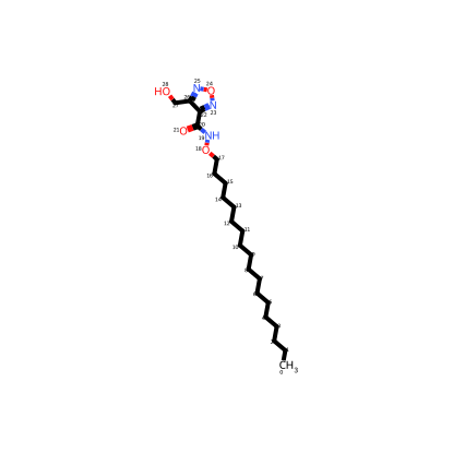 CCCCCCCCCCCCCCCCCCONC(=O)c1nonc1CO